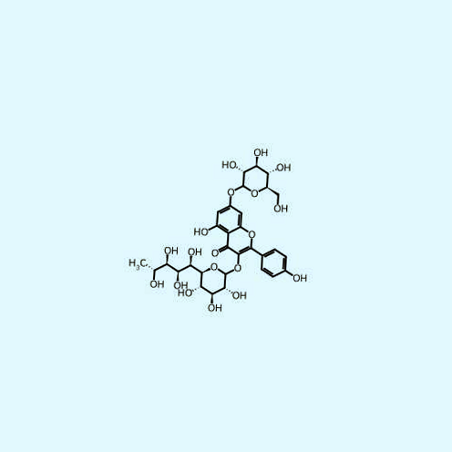 C[C@@H](O)[C@@H](O)[C@H](O)[C@@H](O)[C@H]1OC(Oc2c(-c3ccc(O)cc3)oc3cc(OC4O[C@H](CO)[C@@H](O)[C@H](O)[C@H]4O)cc(O)c3c2=O)[C@H](O)[C@@H](O)[C@@H]1O